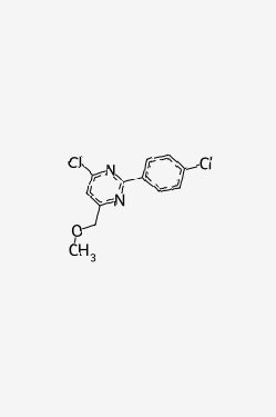 COCc1cc(Cl)nc(-c2ccc(Cl)cc2)n1